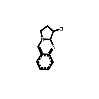 ClC1CCN2C=c3ccccc3=NC12